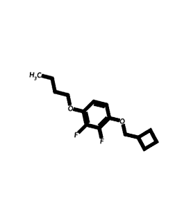 CCCCOc1ccc(OCC2CCC2)c(F)c1F